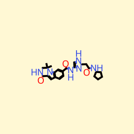 CC1(C)CNC(=O)c2cc3ccc(C(=O)Nc4c[nH]c(CC(=O)NC5CCCC5)n4)cc3n21